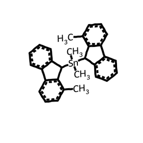 Cc1cccc2c1[CH]([Sn]([CH3])([CH3])[CH]1c3ccccc3-c3cccc(C)c31)c1ccccc1-2